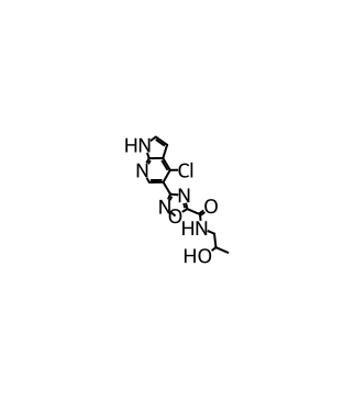 CC(O)CNC(=O)c1nc(-c2cnc3[nH]ccc3c2Cl)no1